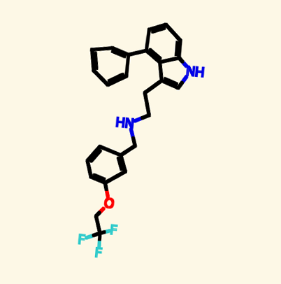 FC(F)(F)COc1cccc(CNCCc2c[nH]c3cccc(-c4ccccc4)c23)c1